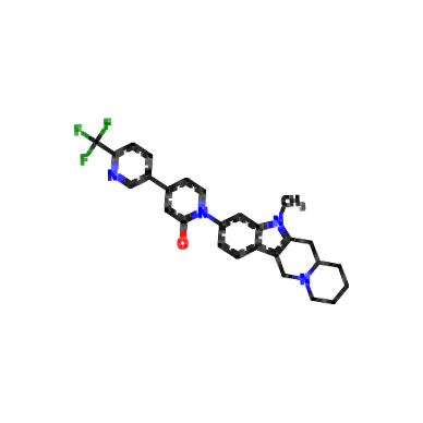 Cn1c2c(c3ccc(-n4ccc(-c5ccc(C(F)(F)F)nc5)cc4=O)cc31)CN1CCCCC1C2